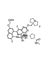 COCOc1cc(-c2nc(OC)c3c(N[C@@H]4CC[C@H](C(N)=O)C4)nc(OC[C@@]45CCCN4C[C@H](F)C5)nc3c2F)c2c(C#C[Si](C(C)C)(C(C)C)C(C)C)c(F)ccc2c1